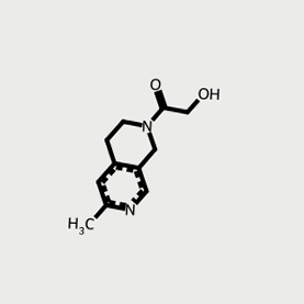 Cc1cc2c(cn1)CN(C(=O)CO)CC2